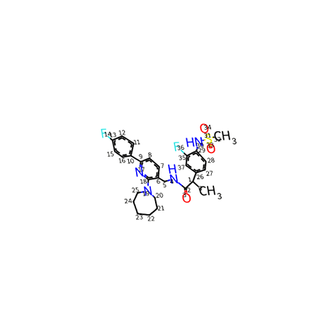 CC(C(=O)NCc1ccc(-c2ccc(F)cc2)nc1N1CCCCCC1)c1ccc(NS(C)(=O)=O)c(F)c1